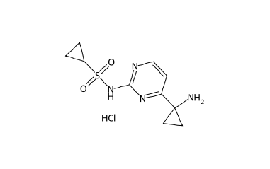 Cl.NC1(c2ccnc(NS(=O)(=O)C3CC3)n2)CC1